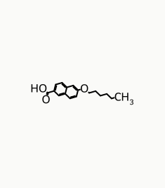 CCCCCCOc1ccc2cc(C(=O)O)ccc2c1